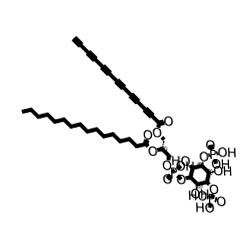 C#CC#CC#CC#CC#CC#CC(=O)OC[C@H](COP(=O)(O)OC1C(O)[C@H](OP(=O)(O)O)[C@H](O)C(OP(=O)(O)O)[C@@H]1O)OC(=O)CCCCCCCCCCCCCCC